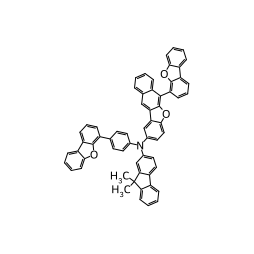 CC1(C)c2ccccc2-c2ccc(N(c3ccc(-c4cccc5c4oc4ccccc45)cc3)c3ccc4oc5c(-c6cccc7c6oc6ccccc67)c6ccccc6cc5c4c3)cc21